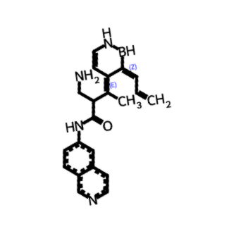 C=C/C=C1/BNC=C/C1=C(/C)C(CN)C(=O)Nc1ccc2cnccc2c1